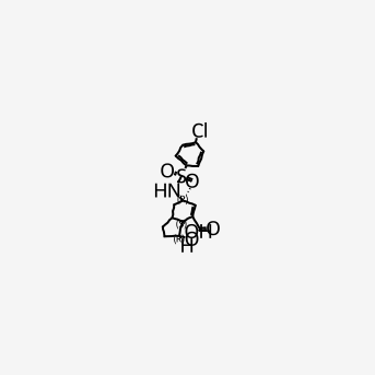 C[C@]1(NS(=O)(=O)c2ccc(Cl)cc2)C=C2C(=O)O[C@@H]3CCC(C1)[C@]23O